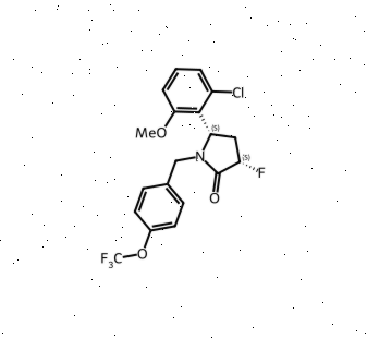 COc1cccc(Cl)c1[C@@H]1C[C@H](F)C(=O)N1Cc1ccc(OC(F)(F)F)cc1